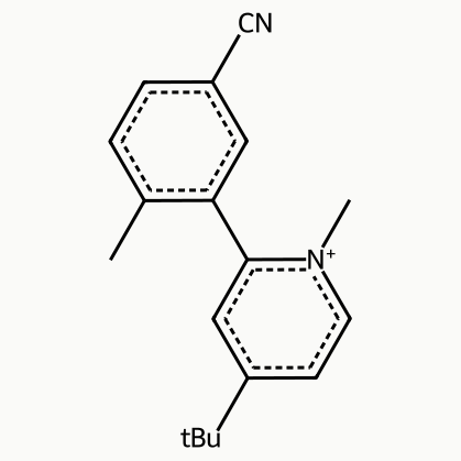 Cc1ccc(C#N)cc1-c1cc(C(C)(C)C)cc[n+]1C